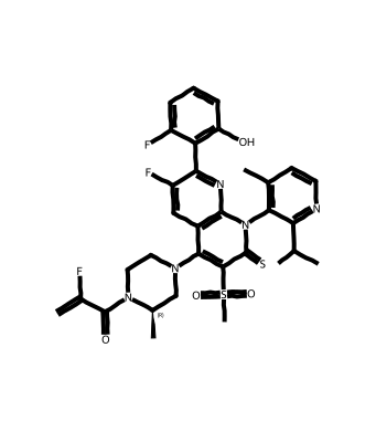 C=C(F)C(=O)N1CCN(c2c(S(C)(=O)=O)c(=S)n(-c3c(C)ccnc3C(C)C)c3nc(-c4c(O)cccc4F)c(F)cc23)C[C@H]1C